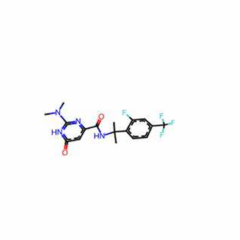 CN(C)c1nc(C(=O)NC(C)(C)c2ccc(C(F)(F)F)cc2F)cc(=O)[nH]1